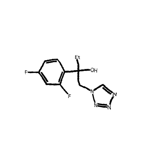 CCC(O)(Cn1cnnn1)c1ccc(F)cc1F